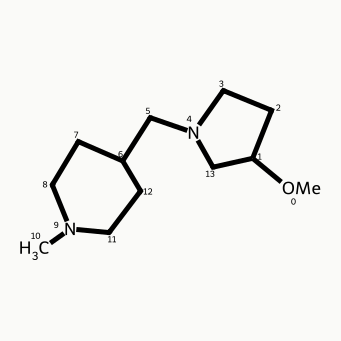 COC1CCN(CC2CCN(C)CC2)C1